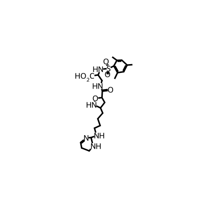 Cc1cc(C)c(S(=O)(=O)NC(CNC(=O)C2CC(CCCCNC3N=CCCN3)NO2)C(=O)O)c(C)c1